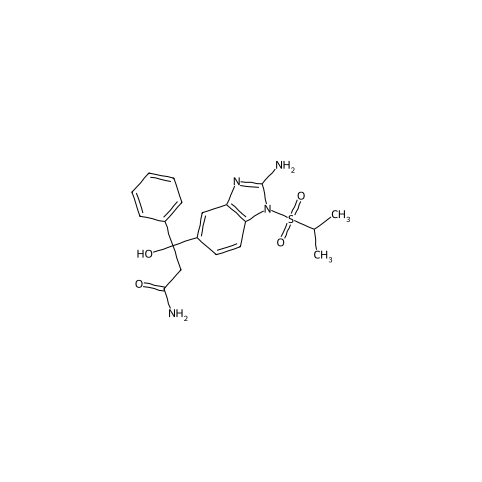 CC(C)S(=O)(=O)n1c(N)nc2cc(C(O)(CC(N)=O)c3ccccc3)ccc21